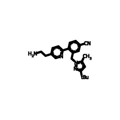 Cc1cc(C(C)(C)C)nn1Cc1cc(C#N)ccc1-c1ccc(CCN)cn1